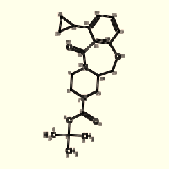 CC(C)(C)OC(=O)N1CCN2C(=O)c3c(cccc3C3CC3)OCC2C1